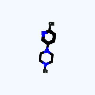 CCN1CCN(c2ccc(C#N)nc2)CC1